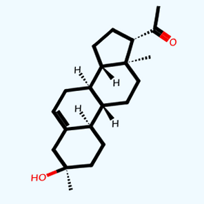 CC(=O)[C@H]1CC[C@H]2[C@@H]3CC=C4C[C@](C)(O)CC[C@@H]4[C@H]3CC[C@]12C